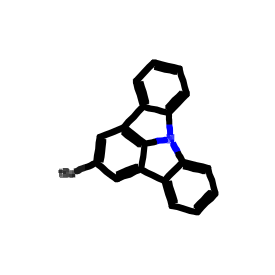 CC(C)(C)c1cc2c3ccccc3n3c4ccccc4c(c1)c23